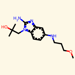 COCCCNc1ccc2c(c1)nc(N)n2CC(C)(C)O